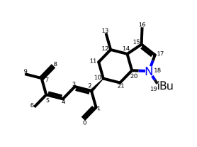 C=C/C(=C\C=C(\C)C(=C)C)[C@H]1CC(C)C2C(C)=CN(C(C)CC)C2C1